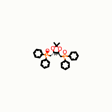 CC1(C)O[C@@H](CP(=O)(c2ccccc2)c2ccccc2)[C@H](CP(=O)(c2ccccc2)c2ccccc2)O1